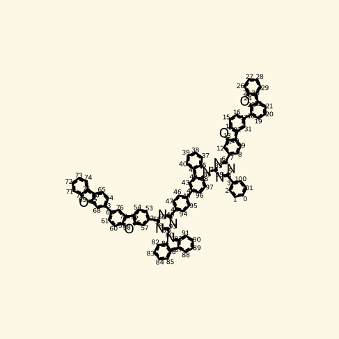 c1ccc(-c2nc(-c3ccc4c(c3)oc3ccc(-c5cccc6c5oc5ccccc56)cc34)nc(-n3c4ccccc4c4cc(-c5ccc(-c6nc(-c7ccc8c(c7)oc7ccc(-c9ccc%10c(c9)oc9ccccc9%10)cc78)nc(-n7c8ccccc8c8ccccc87)n6)cc5)ccc43)n2)cc1